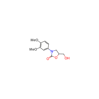 COc1ccc(N2CC(CO)OC2=O)cc1OC